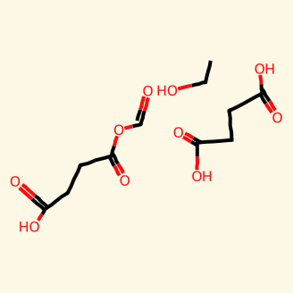 CCO.O=C(O)CCC(=O)O.O=COC(=O)CCC(=O)O